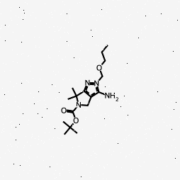 CCCOCn1nc2c(c1N)CN(C(=O)OC(C)(C)C)C2(C)C